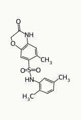 Cc1ccc(C)c(NS(=O)(=O)c2cc3c(cc2C)NC(=O)CO3)c1